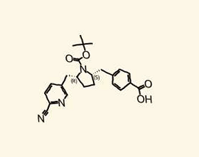 CC(C)(C)OC(=O)N1[C@@H](Cc2ccc(C#N)nc2)CC[C@H]1Cc1ccc(C(=O)O)cc1